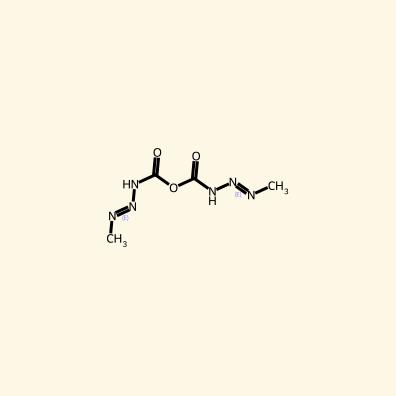 C/N=N/NC(=O)OC(=O)N/N=N/C